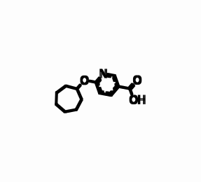 O=C(O)c1ccc(OC2CCCCCC2)nc1